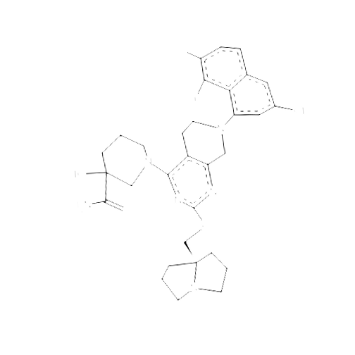 CCc1c(F)ccc2cc(O)cc(N3CCc4c(nc(OC[C@@]56CCCN5C[C@H](F)C6)nc4N4CCCC(O)(C(N)=O)C4)C3)c12